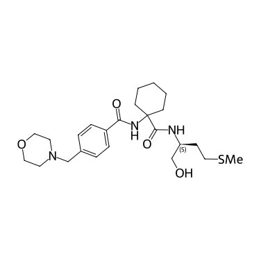 CSCC[C@@H](CO)NC(=O)C1(NC(=O)c2ccc(CN3CCOCC3)cc2)CCCCC1